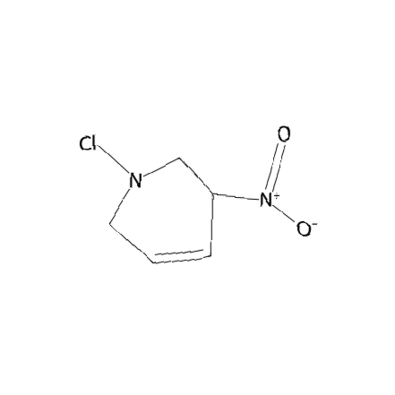 O=[N+]([O-])C1C=CCN(Cl)C1